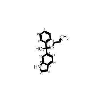 C=CCOC(O)(c1ccccc1)c1ccc2cc[nH]c2c1